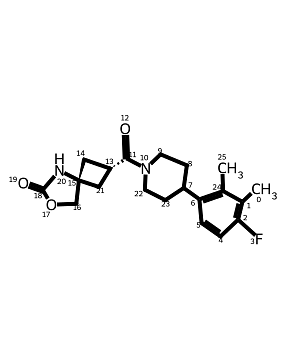 Cc1c(F)ccc(C2CCN(C(=O)[C@H]3C[C@]4(COC(=O)N4)C3)CC2)c1C